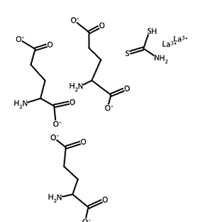 NC(=S)S.NC(CCC(=O)[O-])C(=O)[O-].NC(CCC(=O)[O-])C(=O)[O-].NC(CCC(=O)[O-])C(=O)[O-].[La+3].[La+3]